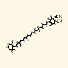 CCCCCCCCCCC1C(O)CC(C)=C(/C=C/C(C)=C/C=C/C(C)=C/C=C/C=C(C)/C=C/C=C(C)/C=C/C2=C(C)CCCC2(C)C)C1(C)C